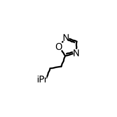 CC(C)CCc1ncno1